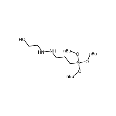 CCCCO[Si](CCCNNCCO)(OCCCC)OCCCC